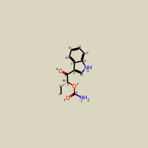 CC[C@@H](OC(N)=O)C(=O)c1c[nH]c2ccccc12